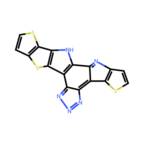 c1cc2c(s1)-c1c3c(c4c([nH]c5c6sccc6sc54)c1=N2)=NN=N3